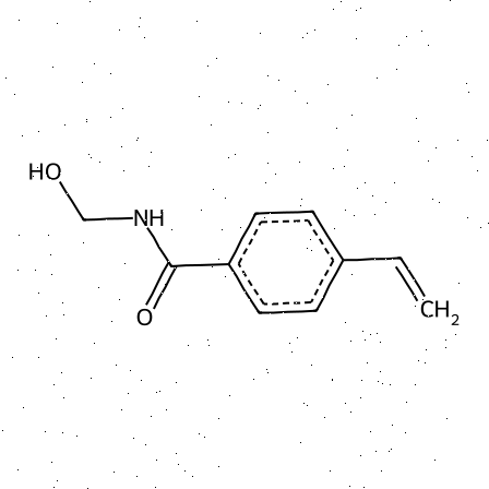 C=Cc1ccc(C(=O)NCO)cc1